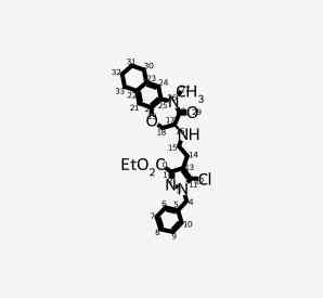 CCOC(=O)c1nn(Cc2ccccc2)c(Cl)c1CCN[C@H]1COc2cc3c(cc2N(C)C1=O)CCCC3